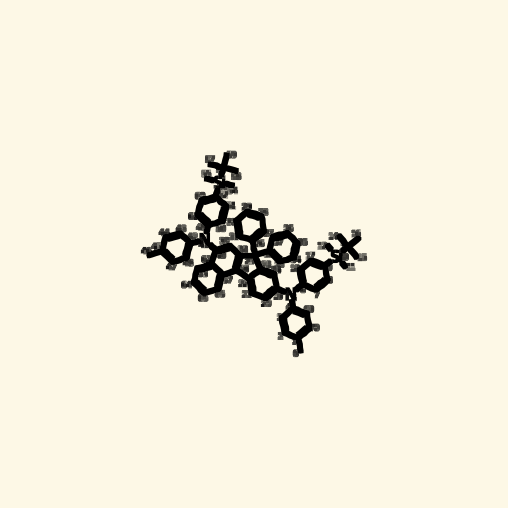 Cc1ccc(N(c2ccc([Si](C)(C)C(C)(C)C)cc2)c2ccc3c(c2)C(c2ccccc2)(c2ccccc2)c2cc(N(c4ccc(C)cc4)c4ccc([Si](C)(C)C(C)(C)C)cc4)c4ccccc4c2-3)cc1